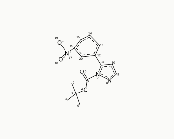 CC(C)(C)OC(=O)n1nccc1-c1cccc([N+](=O)[O-])c1